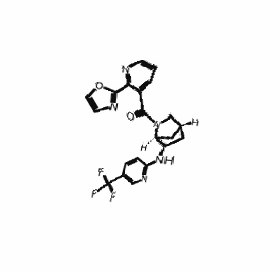 O=C(c1cccnc1-c1ncco1)N1C[C@@H]2C[C@@H](Nc3ccc(C(F)(F)F)cn3)[C@@H]1C2